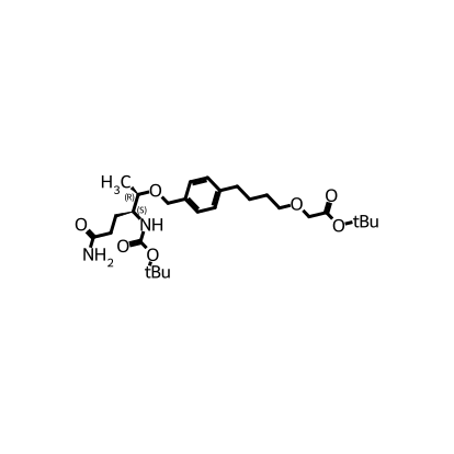 C[C@@H](OCc1ccc(CCCCOCC(=O)OC(C)(C)C)cc1)[C@H](CCC(N)=O)NC(=O)OC(C)(C)C